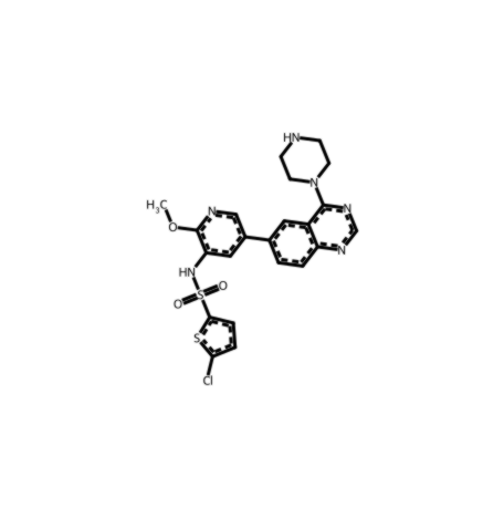 COc1ncc(-c2ccc3ncnc(N4CCNCC4)c3c2)cc1NS(=O)(=O)c1ccc(Cl)s1